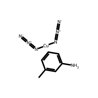 Cc1cccc(N)c1.[N-]=[N+]=[N][Cu][N]=[N+]=[N-]